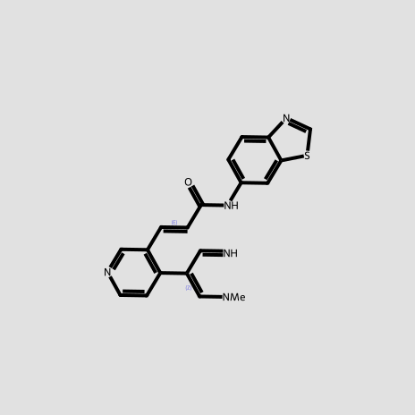 CN/C=C(\C=N)c1ccncc1/C=C/C(=O)Nc1ccc2ncsc2c1